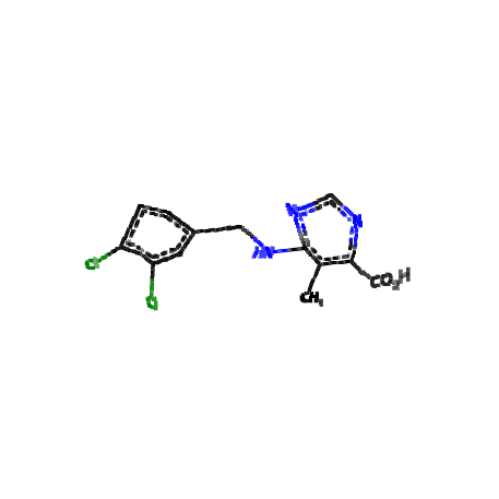 Cc1c(NCc2ccc(Cl)c(Cl)c2)ncnc1C(=O)O